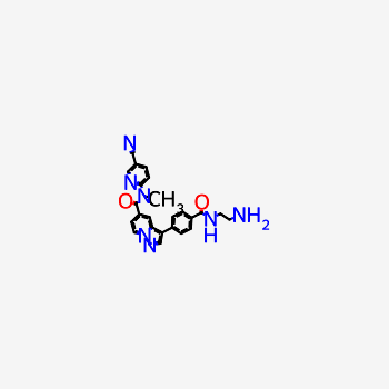 CN(C(=O)c1ccn2ncc(-c3ccc(C(=O)NCCN)cc3)c2c1)c1ccc(C#N)cn1